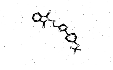 O=C1c2ccccc2C(=O)N1NCc1cnc(-c2ccc(OC(F)(F)F)cc2)o1